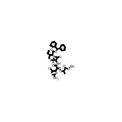 C=CC1=C(C(=O)OC(c2ccccc2)c2ccccc2)N2C(=O)C(NC(=O)C(=NOC(C)C(=O)OC(C)(C)C)c3nc(N)sc3Cl)[C@@H]2SC1